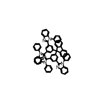 c1ccc(-n2c(-c3cc(-c4nc5ccccc5n4-c4ccccc4)cc(C4(c5cc(-c6nc7ccccc7n6-c6ccccc6)cc(-c6nc7ccccc7n6-c6ccccc6)c5)c5ccccc5-c5ccccc54)c3)nc3ccccc32)cc1